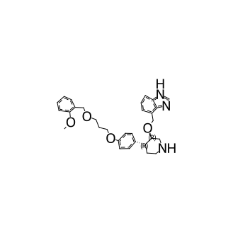 COc1ccccc1COCCCOc1ccc([C@H]2CCNC[C@@H]2OCc2cccc3[nH]cnc23)cc1